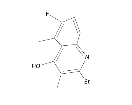 CCc1nc2ccc(F)c(C)c2c(O)c1C